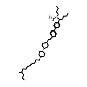 CCCC[SiH2]C(CCCC)c1ccc(-c2ccc(CCC3CCC([C@H]4CC[C@H](CCCCCCCCC(C)CCC)CC4)CC3)cc2)cc1